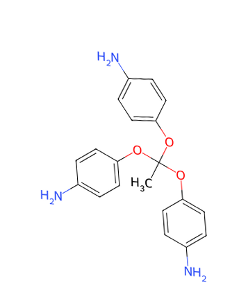 CC(Oc1ccc(N)cc1)(Oc1ccc(N)cc1)Oc1ccc(N)cc1